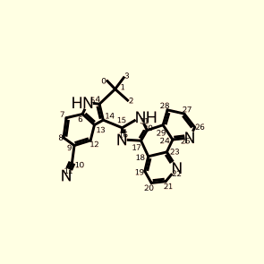 CC(C)(C)c1[nH]c2ccc(C#N)cc2c1-c1nc2c3cccnc3c3ncccc3c2[nH]1